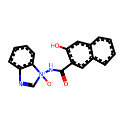 O=C(N[N+]1([O-])C=Nc2ccccc21)c1cc2ccccc2cc1O